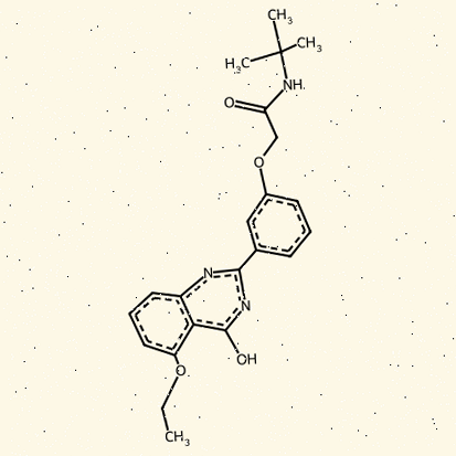 CCOc1cccc2nc(-c3cccc(OCC(=O)NC(C)(C)C)c3)nc(O)c12